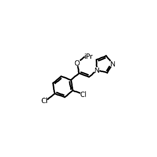 CC(C)OC(=Cn1ccnc1)c1ccc(Cl)cc1Cl